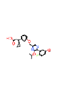 COc1ccc(F)c(-c2ncc(COc3cccc(C(CC(=O)O)C4CC4)c3)nc2OC(C)C)c1